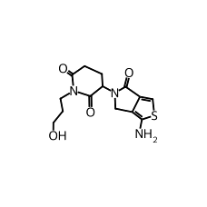 Nc1scc2c1CN(C1CCC(=O)N(CCCO)C1=O)C2=O